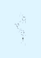 Cc1ccc(NC(=O)c2cc([C@H](C)NC(=O)c3cc(C#CCCO)ncn3)no2)cc1C(F)(F)F